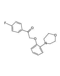 O=C(COc1ccccc1N1CCOCC1)c1ccc(F)cc1